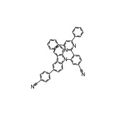 N#Cc1ccc(-c2ccc3c(c2)c2ccccc2n3-c2cc(C#N)ccc2-c2nc(-c3ccccc3)cc(-c3ccccc3)n2)cc1